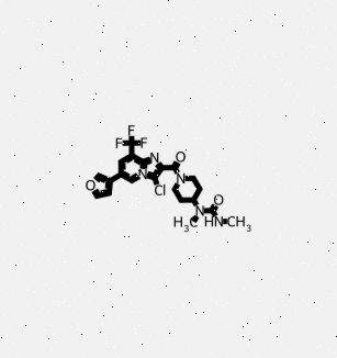 CNC(=O)N(C)C1CCN(C(=O)c2nc3c(C(F)(F)F)cc(-c4ccoc4)cn3c2Cl)CC1